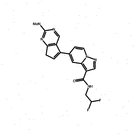 CNc1ncc2c(n1)CC=C2c1ccn2ncc(C(=O)NCC(F)F)c2c1